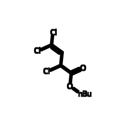 CCCCOC(=O)C(Cl)C=C(Cl)Cl